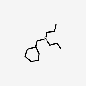 CCCN(CCC)CC1CCCCC1